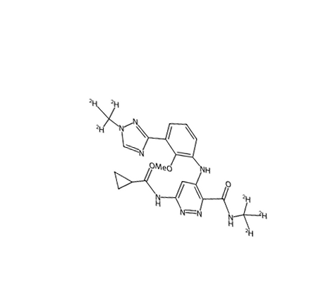 [2H]C([2H])([2H])NC(=O)c1nnc(NC(=O)C2CC2)cc1Nc1cccc(-c2ncn(C([2H])([2H])[2H])n2)c1OC